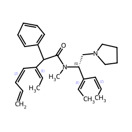 C=C/C=C\C(=C/C)C(C(=O)N(C)[C@H](CN1CCCC1)C(/C=C\C)=C/C)c1ccccc1